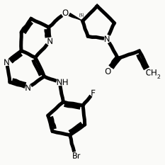 C=CC(=O)N1CC[C@H](Oc2ccc3ncnc(Nc4ccc(Br)cc4F)c3n2)C1